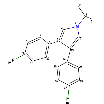 CC(C)n1cc(-c2ccc(F)cc2)c(-c2ccc(F)cc2)c1